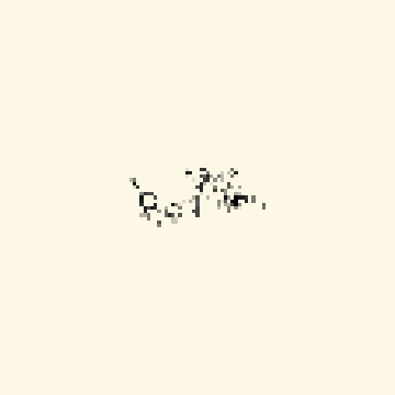 Cc1cc(C#N)ccc1Cn1cc(CNc2cc3c(c(C)n2)NC(=O)C(OC(C)C)N3C)cn1